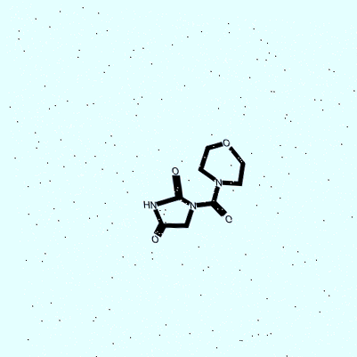 O=C1CN(C(=O)N2CCOCC2)C(=O)N1